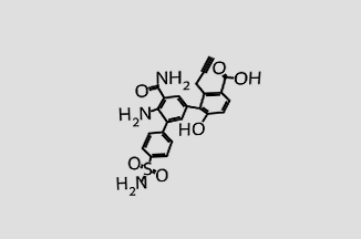 C#CCc1c(C(=O)O)ccc(O)c1-c1cc(C(N)=O)c(N)c(-c2ccc(S(N)(=O)=O)cc2)c1